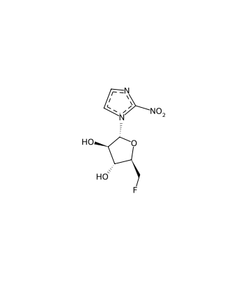 O=[N+]([O-])c1nccn1[C@@H]1O[C@@H](CF)[C@H](O)[C@H]1O